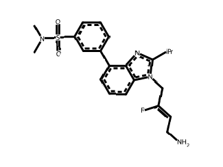 CC(C)c1nc2c(-c3cccc(S(=O)(=O)N(C)C)c3)cccc2n1C/C(F)=C/CN